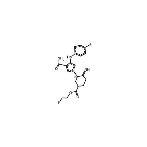 N=C1CCN(C(=O)OCCF)C[C@H]1n1cc(C(N)=O)c(Nc2ccc(F)cc2)n1